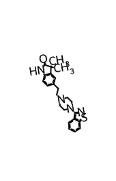 CC1(C)C(=O)Nc2ccc(CCN3CCN(c4nsc5ccccc45)CC3)cc21